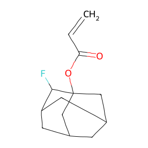 C=CC(=O)OC12CC3CC(CC(C3)C1F)C2